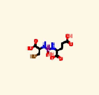 O=C(O)CC[C@H](N[PH](=O)N[C@@H](CS)C(=O)O)C(=O)O